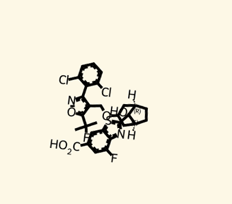 CC(C)(F)c1onc(-c2c(Cl)cccc2Cl)c1COC1C[C@H]2CC[C@@H](C1)C2(O)c1nc2c(F)cc(C(=O)O)cc2s1